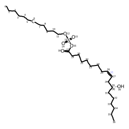 CCCCCCCCCCCCOS(=O)(=O)OC(=O)CCCCCCC/C=C\C[C@H](O)CCCCCC